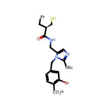 CCCCc1ncc(CNC(=O)[C@H](CS)CC(C)C)n1Cc1ccc(C(=O)O)c(Br)c1